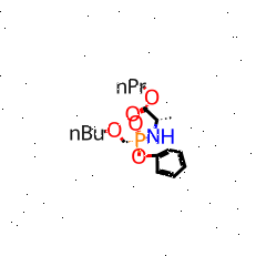 CCCCOC[P@](=O)(N[C@@H](C)C(=O)OCCC)Oc1ccccc1